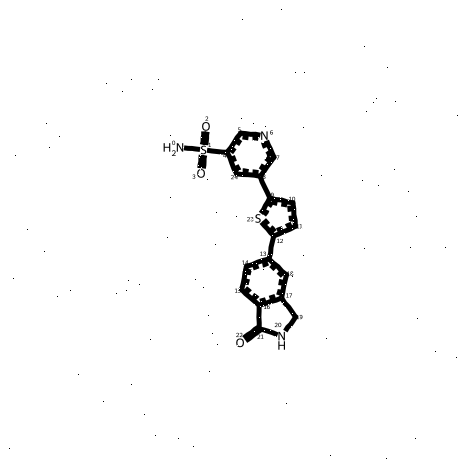 NS(=O)(=O)c1cncc(-c2ccc(-c3ccc4c(c3)CNC4=O)s2)c1